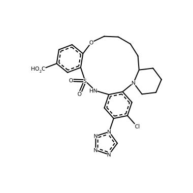 O=C(O)c1ccc2c(c1)S(=O)(=O)Nc1cc(-n3cnnn3)c(Cl)cc1N1CCCCC1CCCCO2